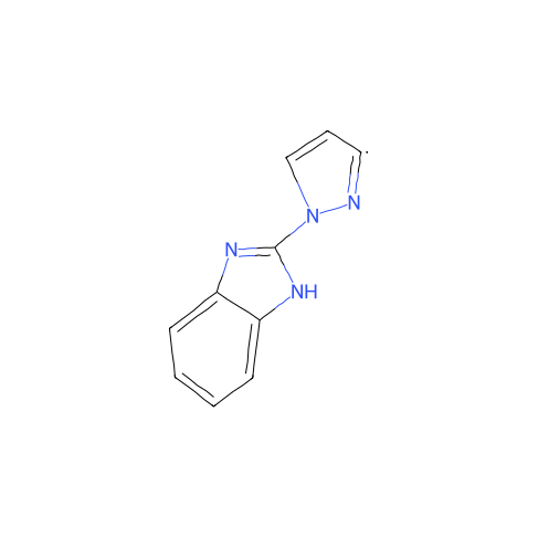 [c]1ccn(-c2nc3ccccc3[nH]2)n1